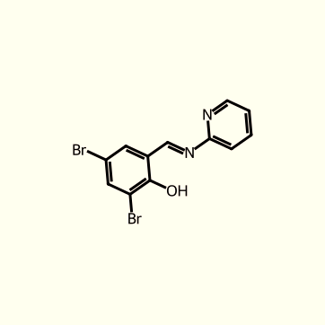 Oc1c(Br)cc(Br)cc1/C=N/c1ccccn1